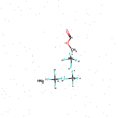 COC=O.F[B-](F)(F)F.F[B-](F)(F)F.F[B-](F)(F)F.[NaH]